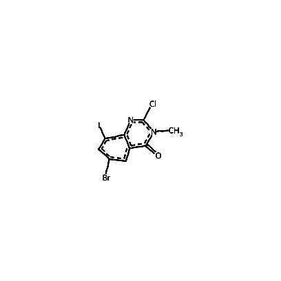 Cn1c(Cl)nc2c(I)cc(Br)cc2c1=O